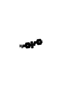 Cc1ccc(S(=O)(=O)OSc2ccncc2)cc1